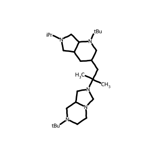 CC(C)N1CC2CC(CC(C)(C)N3CC4CN(C(C)(C)C)CCN4C3)CN(C(C)(C)C)C2C1